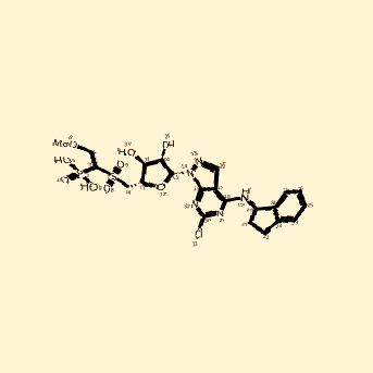 COCC(P(=O)(O)O)S(=O)(=O)C[C@H]1O[C@@H](n2ncc3c(NC4CCc5ccccc54)nc(Cl)nc32)[C@H](O)[C@@H]1O